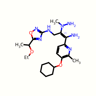 CCOC(C)c1nc(NC/C(=C(/N)c2ccc(OC3CCCCC3)c(C)n2)N(C)N)no1